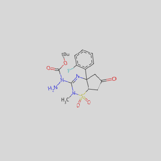 CN1C(N(N)C(=O)OC(C)(C)C)=NC2(c3ccccc3F)CC(=O)CC2S1(=O)=O